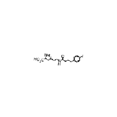 N[C@@H](CCCCNC(=O)CCCc1ccc(I)cc1)C(=O)O